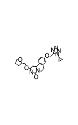 O=c1nc(OCC2CCCO2)cc2n1CCc1cc(OCc3nnnn3C3CC3)ccc1-2